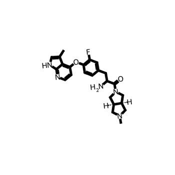 Cc1c[nH]c2nccc(Oc3ccc(CC(N)C(=O)N4C[C@H]5CN(C)C[C@H]5C4)cc3F)c12